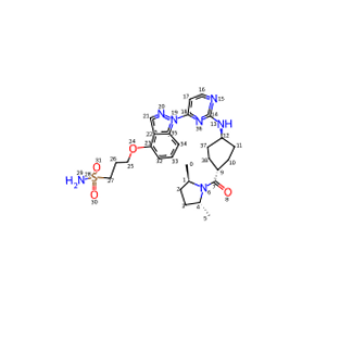 C[C@@H]1CC[C@@H](C)N1C(=O)[C@H]1CC[C@H](Nc2nccc(-n3ncc4c(OCCCS(N)(=O)=O)cccc43)n2)CC1